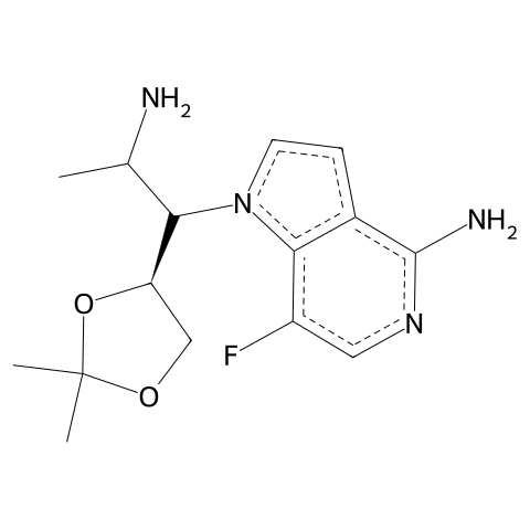 CC(N)C([C@H]1COC(C)(C)O1)n1ccc2c(N)ncc(F)c21